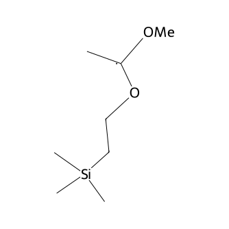 CO[C](C)OCC[Si](C)(C)C